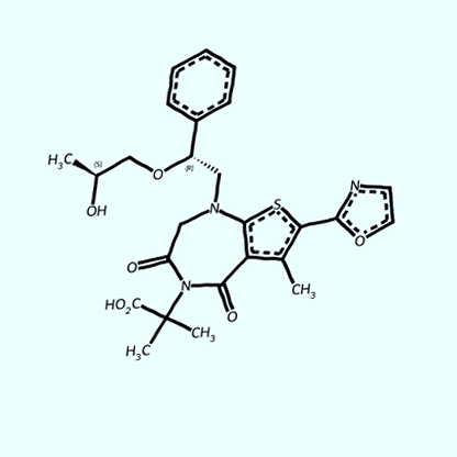 Cc1c(-c2ncco2)sc2c1C(=O)N(C(C)(C)C(=O)O)C(=O)CN2C[C@H](OC[C@H](C)O)c1ccccc1